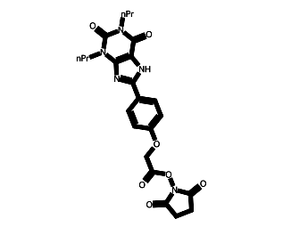 CCCn1c(=O)c2[nH]c(-c3ccc(OCC(=O)ON4C(=O)CCC4=O)cc3)nc2n(CCC)c1=O